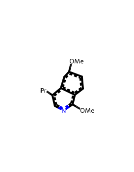 COc1ccc2c(OC)ncc(C(C)C)c2c1